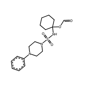 O=COC1(NS(=O)(=O)N2CCN(c3ccccc3)CC2)CCCCC1